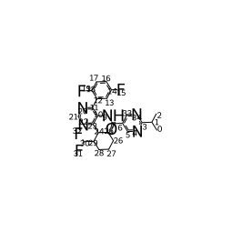 CC(C)c1ncc(C(=O)Nc2c(-c3cc(F)ccc3F)ncnc2C2CCCCC2C(F)F)cn1